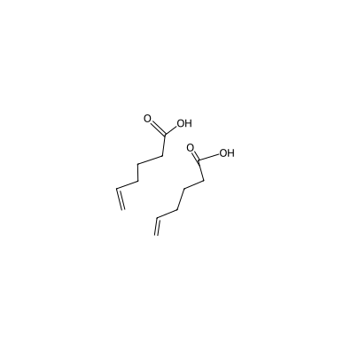 C=CCCCC(=O)O.C=CCCCC(=O)O